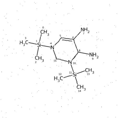 C[Si](C)(C)N1C=C(N)C(N)N([Si](C)(C)C)C1